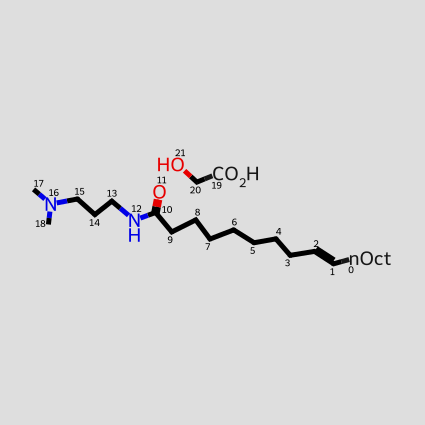 CCCCCCCCC=CCCCCCCCC(=O)NCCCN(C)C.O=C(O)CO